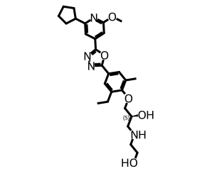 CCc1cc(-c2nnc(-c3cc(OC)nc(C4CCCC4)c3)o2)cc(C)c1OC[C@@H](O)CNCCO